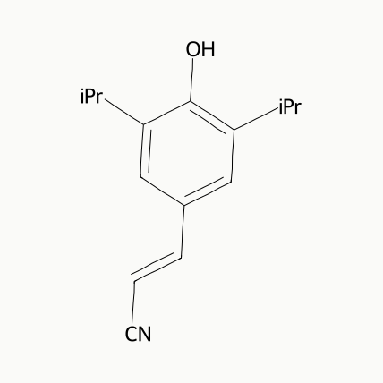 CC(C)c1cc(C=CC#N)cc(C(C)C)c1O